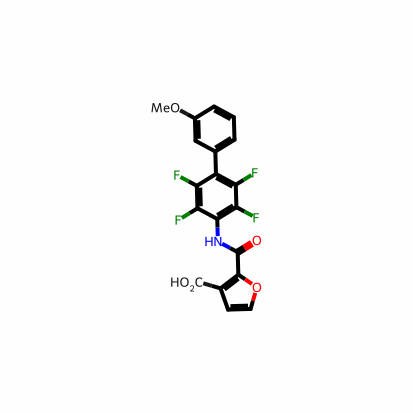 COc1cccc(-c2c(F)c(F)c(NC(=O)c3occc3C(=O)O)c(F)c2F)c1